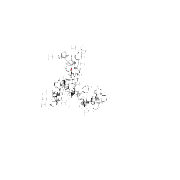 COc1ccc(C(Nc2ccn(C3O[C@H](COP(=O)(NCc4ccccc4)OCCSC(=O)C(C)(C)COC(c4ccccc4)(c4ccccc4)c4ccccc4)[C@@H](OC(=O)C(NC(=O)OC(C)(C)C)C(C)C)[C@@]3(C)O)c(=O)n2)(c2ccccc2)c2ccc(OC)cc2)cc1